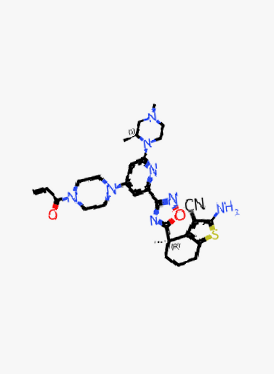 C=CC(=O)N1CCN(c2cc(-c3noc([C@]4(C)CCCc5sc(N)c(C#N)c54)n3)nc(N3CCN(C)C[C@@H]3C)c2)CC1